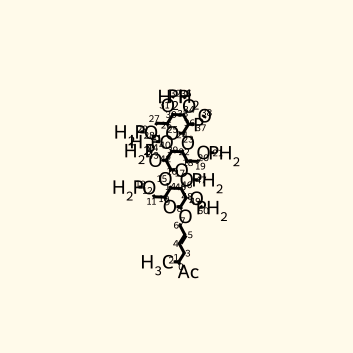 CC(=O)C(C)CC=CCOC1OC(COP)C(O[C@@H]2OC(COP)[C@H](O[C@H]3OC(COP)[C@H](OP)[C@@H](OP)C3P=O)[C@@H](OP)C2OP)[C@H](OP)[C@@H]1OP